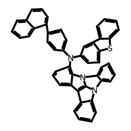 c1ccc2c(-c3ccc(N(c4ccc5sc6ccccc6c5c4)c4cccc5c6c7ccccc7n7c8ccccc8n(c45)c67)cc3)cccc2c1